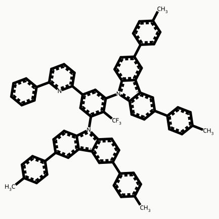 Cc1ccc(-c2ccc3c(c2)c2cc(-c4ccc(C)cc4)ccc2n3-c2cc(-c3cccc(-c4ccccc4)n3)cc(-n3c4ccc(-c5ccc(C)cc5)cc4c4cc(-c5ccc(C)cc5)ccc43)c2C(F)(F)F)cc1